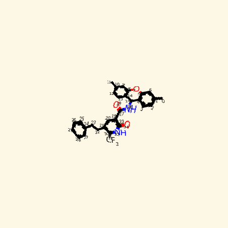 Cc1ccc2c(c1)Oc1cc(C)ccc1C2NC(=O)c1cc(CCc2ccccc2)c(C(F)(F)F)[nH]c1=O